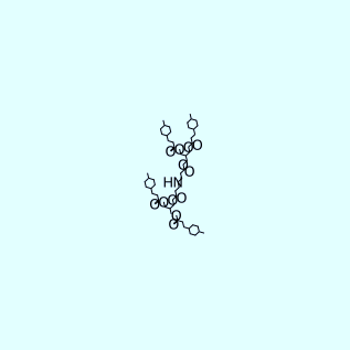 CC1CCC(CCC(=O)OCC(COC(=O)CCNCCC(=O)OCC(COC(=O)CCC2CCC(C)CC2)COC(=O)CCC2CCC(C)CC2)COC(=O)CCC2CCC(C)CC2)CC1